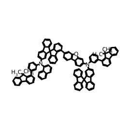 CC1(C)c2ccccc2-c2cccc(-c3cccc(N(c4ccc5c(c4)C4(c6ccccc6-c6ccccc64)c4ccccc4-5)c4ccc5c(c4)oc4cc(-c6cccc7c6-c6ccccc6C76c7ccccc7-c7ccc(N(c8cccc(-c9cccc%10c9C(C)(C)c9ccccc9-%10)c8)c8cccc9ccccc89)cc76)ccc45)c3)c21